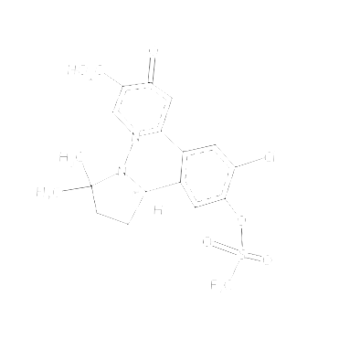 CC1(C)CC[C@@H]2c3cc(OS(=O)(=O)C(F)(F)F)c(Cl)cc3-c3cc(=O)c(C(=O)O)cn3N21